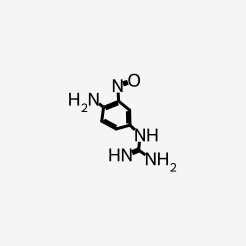 N=C(N)Nc1ccc(N)c(N=O)c1